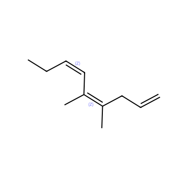 C=CC/C(C)=C(C)\C=C/CC